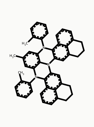 Cc1cc2c3c(c1)N(c1ccccc1C)c1c(cc4c5c(cccc15)CCC4)B3c1cc3c4c(cccc4c1N2c1ccccc1C)CCC3